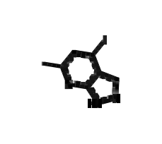 Cc1cc(I)c2cn[nH]c2n1